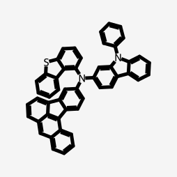 c1ccc(-n2c3ccccc3c3ccc(N(c4ccc5c(c4)-c4cccc6cc7ccccc7c-5c46)c4cccc5sc6ccccc6c45)cc32)cc1